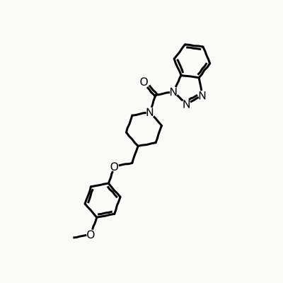 COc1ccc(OCC2CCN(C(=O)n3nnc4ccccc43)CC2)cc1